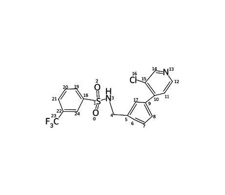 O=S(=O)(NCc1cccc(-c2ccncc2Cl)c1)c1cccc(C(F)(F)F)c1